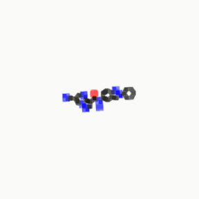 N#Cc1cnc2c(C(=O)Nc3ccc4nn(C5CCCCC5)cc4c3)cnn2c1